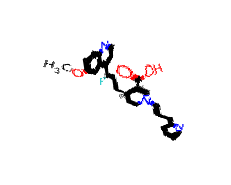 COc1ccc2nccc([C@@H](F)CC[C@@H]3CCN(CCCc4ccccn4)C[C@@H]3C(=O)O)c2c1